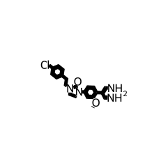 COc1cc(N2CCN(CCc3ccc(Cl)cc3)C2=O)ccc1/C(C=N)=C/N